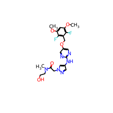 COc1cc(OC)c(F)c(COc2cnc(Nc3cnn(CC(=O)N(C)CCO)c3)nc2)c1F